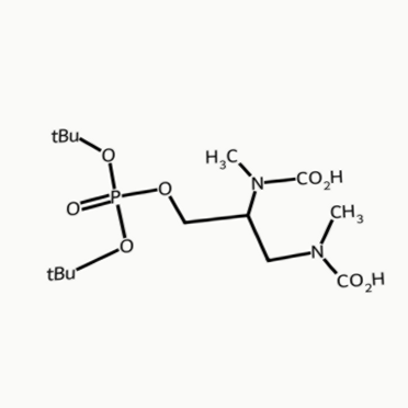 CN(CC(COP(=O)(OC(C)(C)C)OC(C)(C)C)N(C)C(=O)O)C(=O)O